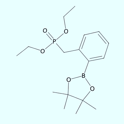 CCOP(=O)(Cc1ccccc1B1OC(C)(C)C(C)(C)O1)OCC